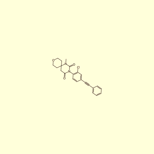 CN1C(=O)N(c2ccc(C#Cc3ccccc3)cc2Cl)C(=O)CC12CCOCC2